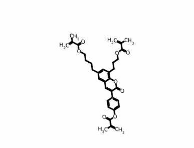 C=C(C)C(=O)OCCCCc1cc(CCCOC(=O)C(=C)C)c2oc(=O)c(-c3ccc(OC(=O)C(=C)C)cc3)cc2c1